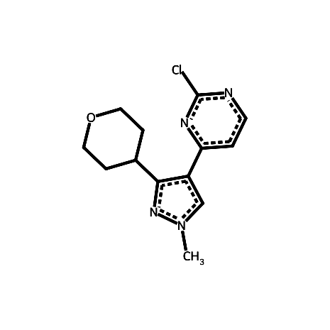 Cn1cc(-c2ccnc(Cl)n2)c(C2CCOCC2)n1